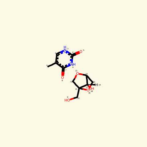 Cc1c[nH]c(=O)[nH]c1=O.OCC12COC(CO1)[C@@H]2O